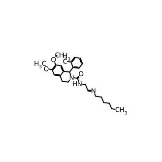 CCCCCCN=CCNC(=O)N1CCc2cc(OC)c(OC)cc2C1c1ccccc1C